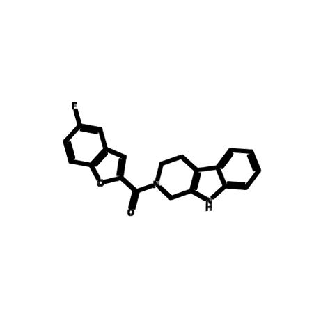 O=C(c1cc2cc(F)ccc2o1)N1CCc2c([nH]c3ccccc23)C1